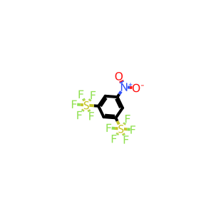 O=[N+]([O-])c1cc(S(F)(F)(F)(F)F)cc(S(F)(F)(F)(F)F)c1